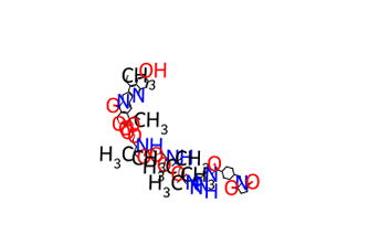 CCc1c2c(nc3ccc(O)cc13)-c1cc3c(c(=O)n1C2)COC(=O)C3(CC)OC(=O)OCC(NC(=O)COCC(=O)NC(C)(C)COC(C)(C)Cn1cc(CNC(=O)C2CCC(CN3C(=O)CCC3=O)CC2)nn1)C(C)C